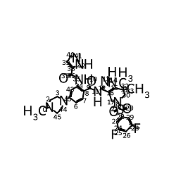 CN1CCN(c2ccc(C(=O)Nc3n[nH]c4c3CN(S(=O)(=O)c3cc(F)cc(F)c3)CC4(C)C)c(NC(=O)c3ccn[nH]3)c2)CC1